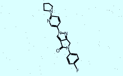 O=C1c2cn(-c3ccc(N4CCCC4)nc3)nc2CN1c1ccc(F)cc1